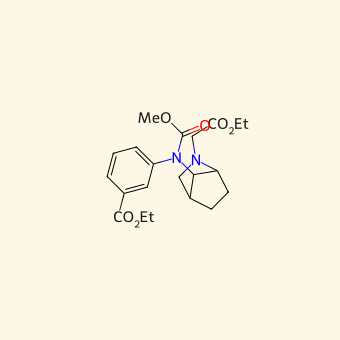 CCOC(=O)CN1CC2CCC1C2N(C(=O)OC)c1cccc(C(=O)OCC)c1